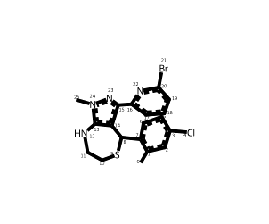 Cc1cc(Cl)ccc1C1SCCNc2c1c(-c1cccc(Br)n1)nn2C